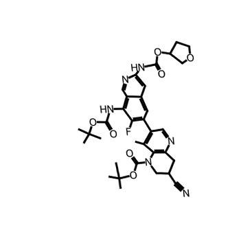 Cc1c(-c2cc3cc(NC(=O)OC4CCOC4)ncc3c(NC(=O)OC(C)(C)C)c2F)cnc2c1N(C(=O)OC(C)(C)C)CC(C#N)C2